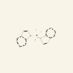 C[Si](C)=[ZrH]([Cl])([CH]1C=Cc2ccccc21)[CH]1C=Cc2ccccc21